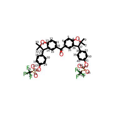 CC1(C)Oc2ccc(C(=O)c3ccc4c(c3)C(c3ccc(OS(=O)(=O)C(F)(F)F)cc3)C(C)(C)O4)cc2C1c1ccc(OS(=O)(=O)C(F)(F)F)cc1